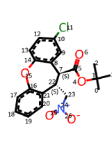 CC(C)(C)OC(=O)[C@@H]1c2cc(Cl)ccc2Oc2ccccc2[C@H]1C[N+](=O)[O-]